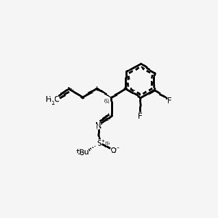 C=CCC[C@H](C=N[S@+]([O-])C(C)(C)C)c1cccc(F)c1F